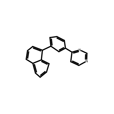 c1cc(-c2ccncn2)cc(-c2cccc3ccccc23)c1